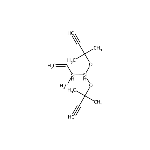 C#CC(C)(C)O[SiH](OC(C)(C)C#C)[SiH](C)C=C